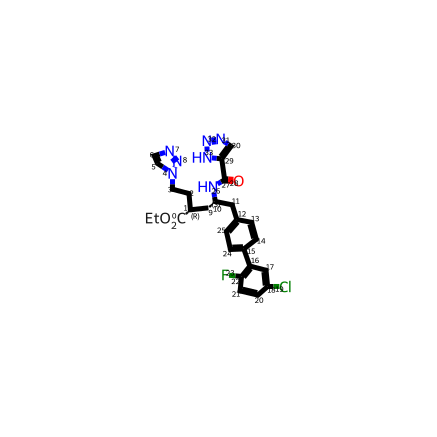 CCOC(=O)[C@H](CCn1ccnn1)C[C@@H](Cc1ccc(-c2cc(Cl)ccc2F)cc1)NC(=O)c1cnn[nH]1